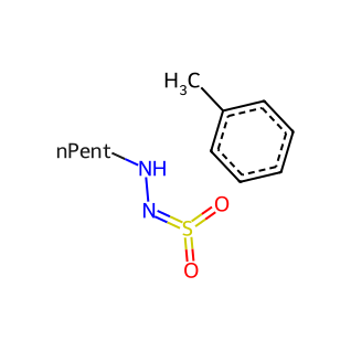 CCCCCNN=S(=O)=O.Cc1ccccc1